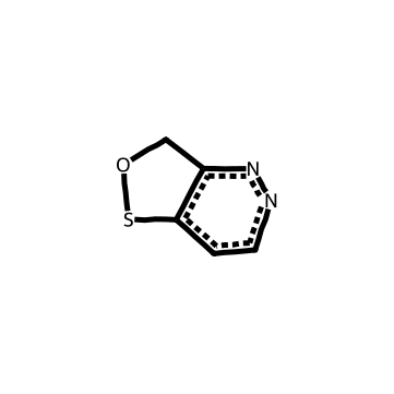 c1cc2c(nn1)COS2